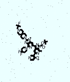 COc1ccncc1-c1cc2c(-c3cc4c(nc(N5CCC6(CCN(CC(C)(C)F)CC6)CC5)n4C)c(N4CCC(F)(F)CC4)n3)nn(C(=O)OC(C)(C)C)c2c(C)n1